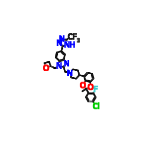 CC1(c2ccc(Cl)cc2F)Oc2cccc(C3CCN(Cc4nc5cc(-c6nnc(C(F)(F)F)[nH]6)ccc5n4C[C@@H]4CCO4)CC3)c2O1